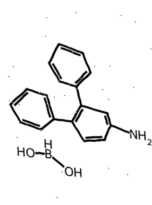 Nc1ccc(-c2ccccc2)c(-c2ccccc2)c1.OBO